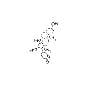 CC12CC[C@H](O)CC1CCC1C2CCC2(C)C(c3ccc(=O)oc3)[C@@H](O)C[C@]12O